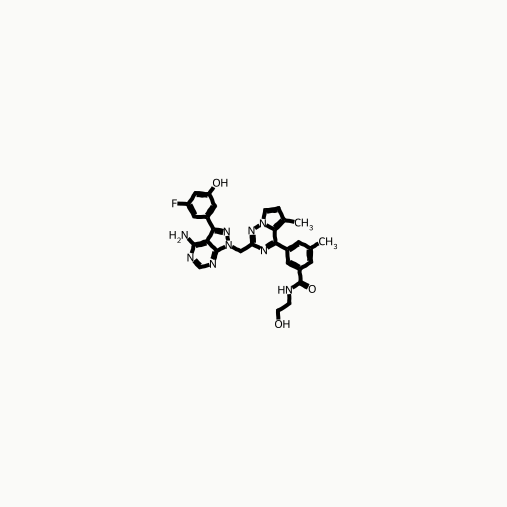 Cc1cc(C(=O)NCCO)cc(-c2nc(Cn3nc(-c4cc(O)cc(F)c4)c4c(N)ncnc43)nn3ccc(C)c23)c1